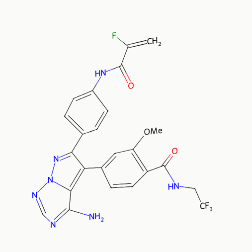 C=C(F)C(=O)Nc1ccc(-c2nn3ncnc(N)c3c2-c2ccc(C(=O)NCC(F)(F)F)c(OC)c2)cc1